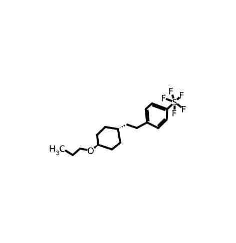 CCCO[C@H]1CC[C@H](CCc2ccc(S(F)(F)(F)(F)F)cc2)CC1